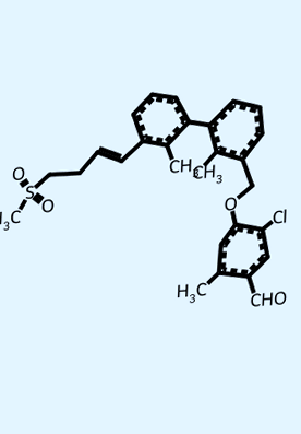 Cc1cc(OCc2cccc(-c3cccc(/C=C/CCS(C)(=O)=O)c3C)c2C)c(Cl)cc1C=O